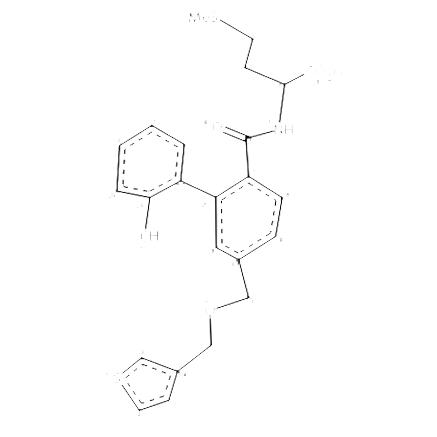 CSCCC(NC(=O)c1ccc(COCc2ccsc2)cc1-c1ccccc1C)C(=O)O